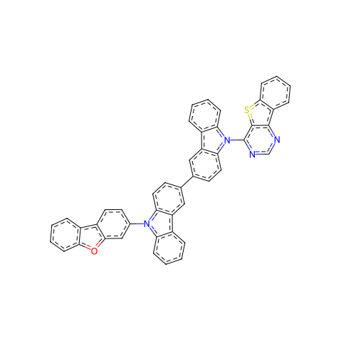 c1ccc2c(c1)oc1cc(-n3c4ccccc4c4cc(-c5ccc6c(c5)c5ccccc5n6-c5ncnc6c5sc5ccccc56)ccc43)ccc12